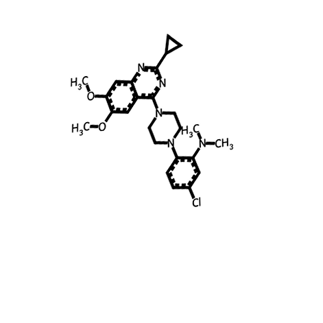 COc1cc2nc(C3CC3)nc(N3CCN(c4ccc(Cl)cc4N(C)C)CC3)c2cc1OC